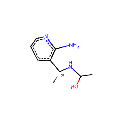 CC(O)N[C@H](C)c1cccnc1N